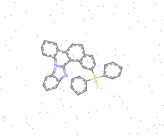 S=P(c1ccccc1)(c1ccccc1)c1ccc2ccc3c4ccccc4n4c5ccccc5nc4c3c2c1